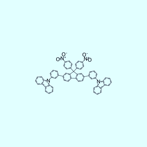 O=[N+]([O-])c1ccc(C2(c3ccc([N+](=O)[O-])cc3)c3cc(-c4cccc(-n5c6ccccc6c6ccccc65)c4)ccc3-c3ccc(-c4cccc(-n5c6ccccc6c6ccccc65)c4)cc32)cc1